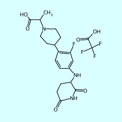 CC(C(=O)O)N1CCC(c2ccc(NC3CCC(=O)NC3=O)cc2F)CC1.O=C(O)C(F)(F)F